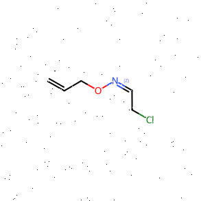 C=CCO/N=C\[CH]Cl